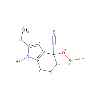 CCc1cc2c(n1S)CCCC2(C#N)OSI